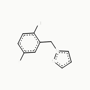 Fc1ccc(Cl)c(Cn2c[c]cn2)c1